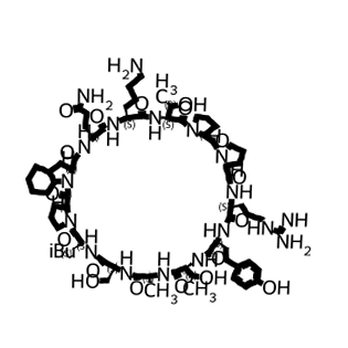 CC[C@H](C)[C@@H]1NC(=O)[C@H](CO)NC(=O)[C@H](C)NC(=O)[C@H]([C@@H](C)O)NC(=O)[C@H](CCc2ccc(O)cc2)NC(=O)[C@H](CCCNC(=N)N)NC(=O)[C@H]2CCCN2C(=O)[C@H]2CCCN2C(=O)[C@H]([C@@H](C)O)NC(=O)[C@H](CCCCN)NC(=O)[C@H](CCC(N)=O)NC(=O)[C@@H]2CC3CCCCC3N2C(=O)[C@@H]2CCCN2C1=O